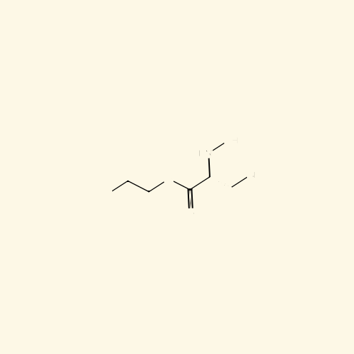 CCCOC(=O)[C@@H](CS)NC